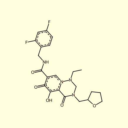 CCN1CN(CC2CCCO2)C(=O)c2c(O)c(=O)c(C(=O)NCc3ccc(F)cc3F)cn21